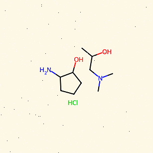 CC(O)CN(C)C.Cl.NC1CCCC1O